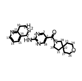 O=C(c1cnc(N[C@H]2[SiH2]CCc3ncccc32)nc1)N1CCC2(CCOCC2)C1